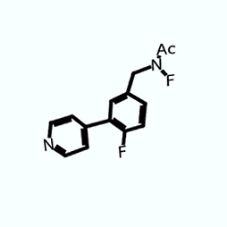 CC(=O)N(F)Cc1ccc(F)c(-c2ccncc2)c1